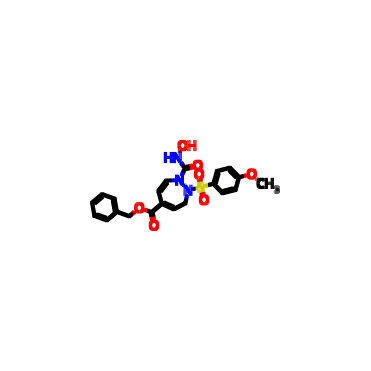 COc1ccc(S(=O)(=O)N2CC=C(C(=O)OCc3ccccc3)C=CN2C(=O)NO)cc1